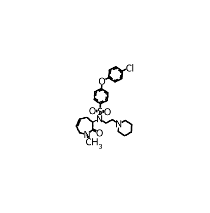 CN1CC=CC[C@@H](N(CCN2CCCCC2)S(=O)(=O)c2ccc(Oc3ccc(Cl)cc3)cc2)C1=O